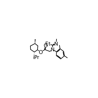 CC/C(=N\C)N(CC(=O)O[C@@H]1C[C@H](C)CC[C@H]1C(C)C)c1ccc(C)cc1C